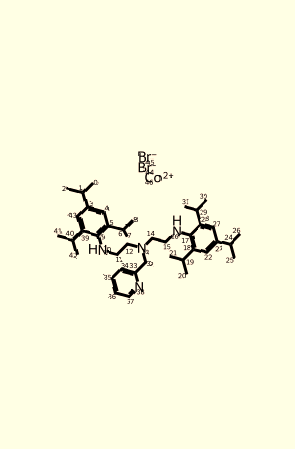 CC(C)c1cc(C(C)C)c(NCCN(CCNc2c(C(C)C)cc(C(C)C)cc2C(C)C)Cc2ccccn2)c(C(C)C)c1.[Br-].[Br-].[Co+2]